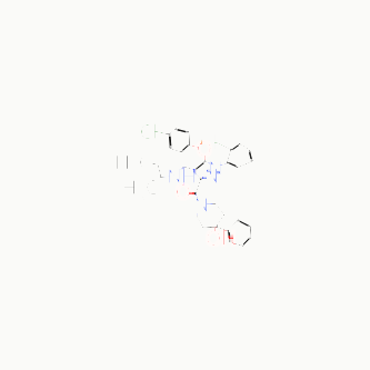 CCC(C)NCc1c(C(=O)N2CCC(O)(c3ccccc3)CC2)nn(-c2ccccc2Cl)c1Oc1ccc(Cl)cc1